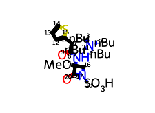 CCCC[N+](CCCC)(CCCC)CCCC.COC1(NC(=O)Cc2cccs2)CN(S(=O)(=O)O)C1=O